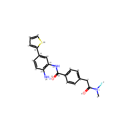 CN(F)C(=O)Cc1ccc(C(=O)Nc2cc(-c3cccs3)ccc2N)cc1